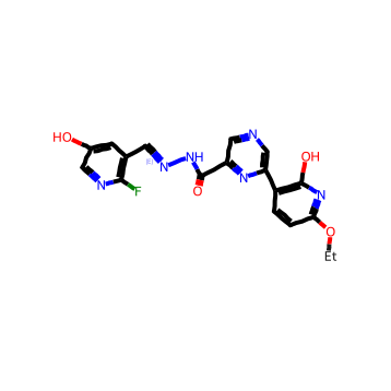 CCOc1ccc(-c2cncc(C(=O)N/N=C/c3cc(O)cnc3F)n2)c(O)n1